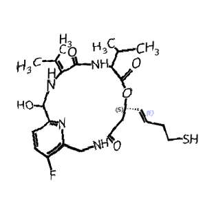 CC(C)=C1NC(O)c2ccc(F)c(n2)CNC(=O)C[C@@H](/C=C/CCS)OC(=O)C(C(C)C)NC1=O